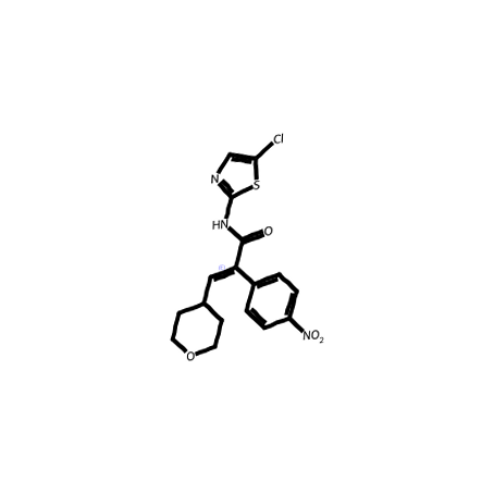 O=C(Nc1ncc(Cl)s1)/C(=C/C1CCOCC1)c1ccc([N+](=O)[O-])cc1